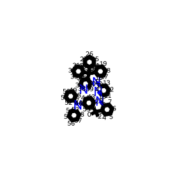 CC1(C)c2ccccc2N(c2cccc(N3c4ccccc4C(c4ccccc4)(c4ccccc4)c4ccncc43)n2)c2ccc(N(c3ccccc3)c3ccccc3)cc21